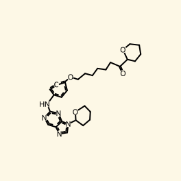 O=C(CCCCCCOc1ccc(Nc2ncc3ncn(C4CCCCO4)c3n2)cc1)C1CCCCO1